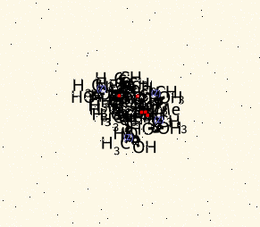 CC[Si]1(O[Si](C)(C)C)O[Si](C)(C)O[Si]2(CCSCC/N=C(/C)c3cc(O)ccc3O)O[Si](C)(C)O[Si](CCSCC/N=C(/C)c3cc(O)ccc3O)(O[Si](C)(C)OC)O[Si](C)(C)O[Si](C)(CCSCC/N=C(/C)c3cc(O)ccc3O)O[Si](C)(O)O[Si](C)(C)O[Si](C)(C)O[Si](CCSCC/N=C(/C)c3cc(O)ccc3O)(O[Si](C)(C)O2)O1